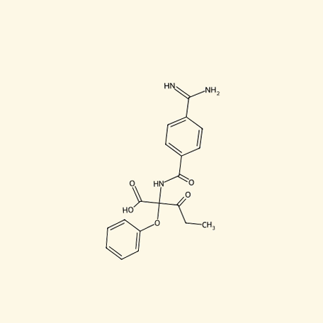 CCC(=O)C(NC(=O)c1ccc(C(=N)N)cc1)(Oc1ccccc1)C(=O)O